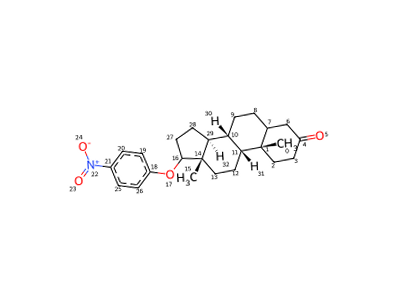 C[C@]12CCC(=O)CC1CC[C@@H]1[C@H]2CC[C@]2(C)C(Oc3ccc([N+](=O)[O-])cc3)CC[C@@H]12